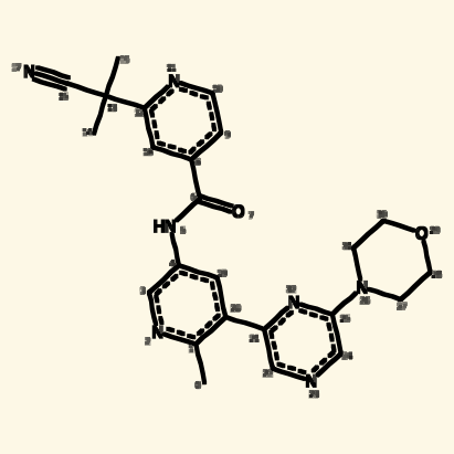 Cc1ncc(NC(=O)c2ccnc(C(C)(C)C#N)c2)cc1-c1cncc(N2CCOCC2)n1